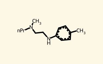 CCCN(C)CCNc1ccc(C)cc1